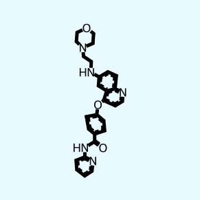 O=C(Nc1ccccn1)c1ccc(Oc2ccnc3ccc(NCCN4CCOCC4)cc23)cc1